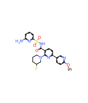 CC(C)Oc1ccc(-c2ccc(C(=O)NS(=O)(=O)c3cccc(N)n3)c(N3CCCC(F)C3)n2)cn1